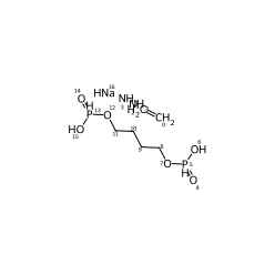 C=C.N.N.O=[PH](O)OCCCCO[PH](=O)O.[NaH]